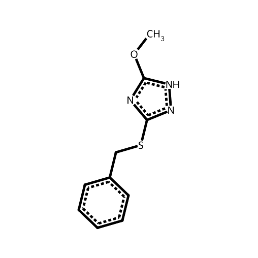 COc1nc(SCc2ccccc2)n[nH]1